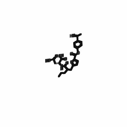 CCCC(Cc1ccc(C(=O)Oc2ccc(C(C)=N)cc2)o1)C(=O)N[C@H](CC(=O)O)C(=O)O